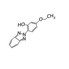 CCOc1ccc(-n2nc3ccccc3n2)c(O)c1